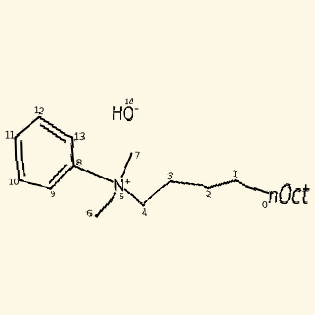 CCCCCCCCCCCC[N+](C)(C)c1ccccc1.[OH-]